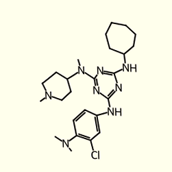 CN1CCC(N(C)c2nc(Nc3ccc(N(C)C)c(Cl)c3)nc(NC3CCCCCC3)n2)CC1